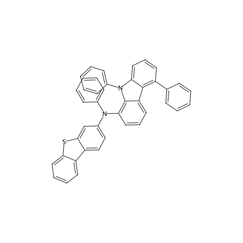 c1ccc(-c2cccc3c2c2cccc(N(c4ccccc4)c4ccc5c(c4)sc4ccccc45)c2n3-c2ccccc2)cc1